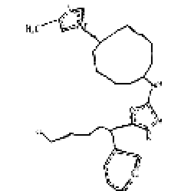 Cc1cn(C2CCCCCC(Nc3n[nH]c(C(CCCCCl)c4ccccc4)n3)CCCC2)cn1